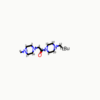 CN1CCN(CC(=O)N2CCN(CC(C)(C)C)CC2)CC1